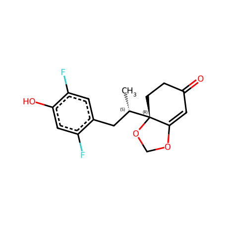 C[C@@H](Cc1cc(F)c(O)cc1F)[C@]12CCC(=O)C=C1OCO2